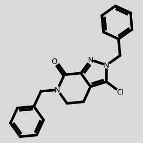 O=C1c2nn(Cc3ccccc3)c(Cl)c2CCN1Cc1ccccc1